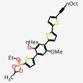 CCCCCCCCC#Cc1ccc(-c2ccc(-c3cc(OCCCCCC)c(-c4ccc([PH]5(OCC)OC(C)O5)s4)cc3OC)s2)s1